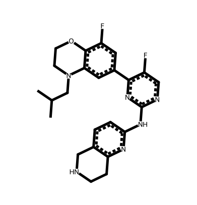 CC(C)CN1CCOc2c(F)cc(-c3nc(Nc4ccc5c(n4)CCNC5)ncc3F)cc21